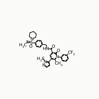 CN=S(=O)(c1ccc(CNC(=O)c2cc(-c3ccnn3C)c(C)n(-c3cccc(C(F)(F)F)c3)c2=O)cc1)N1CCCCC1